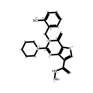 C=C(NCCCC)c1csc2c1N=C(N1CCCCC1)N(Cc1ccccc1C#N)C2=C